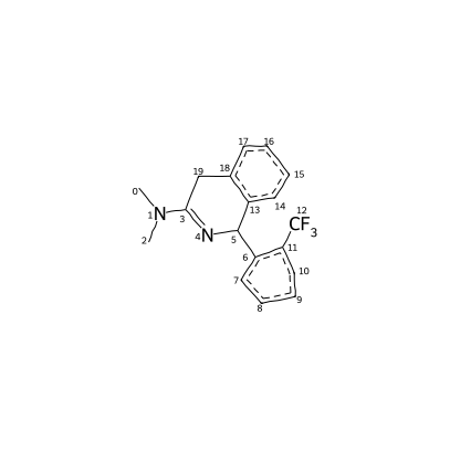 CN(C)C1=NC(c2ccccc2C(F)(F)F)c2ccccc2C1